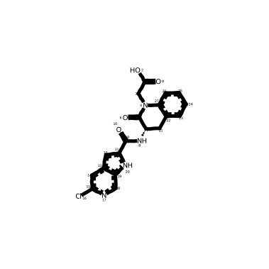 O=C(O)CN1C(=O)[C@@H](NC(=O)c2cc3cc(Cl)ncc3[nH]2)Cc2ccccc21